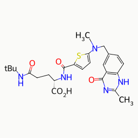 Cc1nc(=O)c2cc(CN(C)c3ccc(C(=O)N[C@@H](CCC(=O)NC(C)(C)C)C(=O)O)s3)ccc2[nH]1